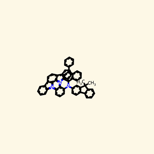 CC1(C)c2ccccc2-c2ccc(N(c3ccc(-c4ccccc4)c4ccccc34)c3cccc4c3n3c5ccccc5c5ccc6c7ccccc7n4c6c53)cc21